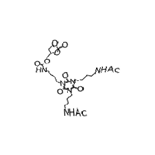 CC(=O)NCCCCn1c(=O)n(CCCCNC(C)=O)c(=O)n(CCCCNC(=O)OCC2COC(=O)O2)c1=O